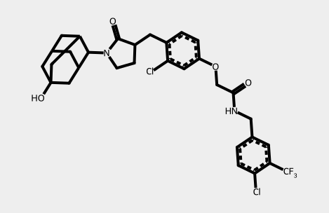 O=C(COc1ccc(CC2CCN(C3C4CC5CC3CC(O)(C5)C4)C2=O)c(Cl)c1)NCc1ccc(Cl)c(C(F)(F)F)c1